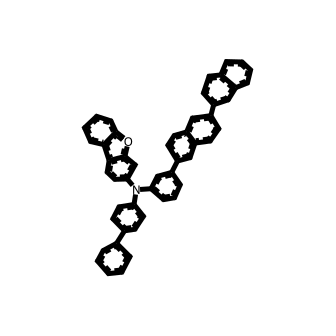 c1ccc(-c2ccc(N(c3cccc(-c4ccc5cc(-c6ccc7ccccc7c6)ccc5c4)c3)c3ccc4c(c3)oc3ccccc34)cc2)cc1